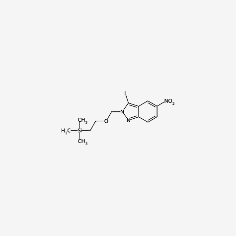 C[Si](C)(C)CCOCn1nc2ccc([N+](=O)[O-])cc2c1I